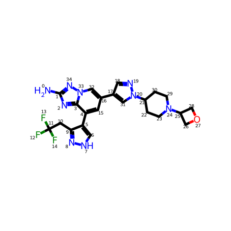 Nc1nc2c(-c3c[nH]nc3CC(F)(F)F)cc(-c3cnn(C4CCN(C5COC5)CC4)c3)cn2n1